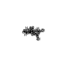 CC1C[C@@H]2OC(O[C@H]3OC4COC(=O)N[C@H]4[C@H](O)C3O)C3C(OC(=O)N3C)C2O[C@@H]1O[C@@H]1C(NC(=O)OCc2ccccc2)C[C@@H](NC(=O)OCc2ccccc2)C(O)[C@H]1O